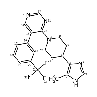 Cc1[nH]cnc1C1CCN(c2ncncc2-c2cccc(C(F)(F)F)c2)CC1